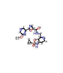 CCOc1cncc(-c2ncc(C(=O)NCc3cc(NS(=O)(=O)C4CC4)ccn3)o2)n1